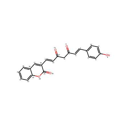 O=C(/C=C/c1ccc(O)cc1)CC(=O)/C=C/c1cc2ccccc2oc1=O